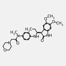 CC/C(Nc1ccc(N(C)C(=O)CN2CCOCC2)cc1)=C1/C(=O)Nc2cc(OC)c(OC)cc21